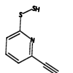 C#Cc1cccc(SS)n1